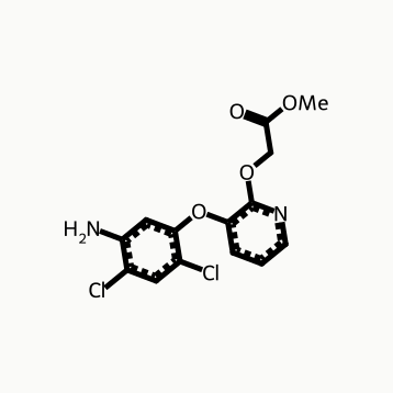 COC(=O)COc1ncccc1Oc1cc(N)c(Cl)cc1Cl